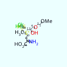 COCCOCC(O)C[S+](C)CC[C@H](N)C(=O)O.Cl.S.[Cl-]